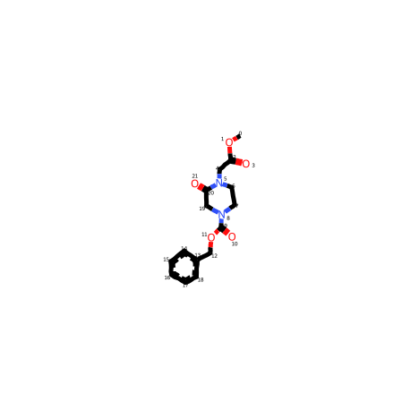 COC(=O)CN1CCN(C(=O)OCc2ccccc2)CC1=O